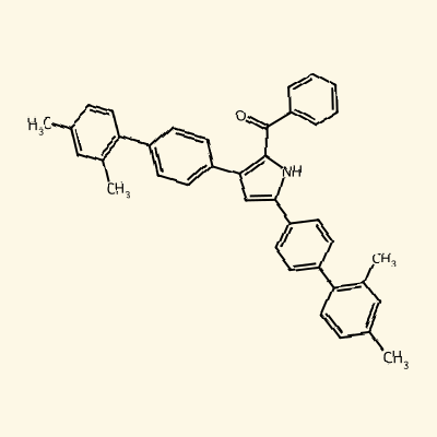 Cc1ccc(-c2ccc(-c3cc(-c4ccc(-c5ccc(C)cc5C)cc4)c(C(=O)c4ccccc4)[nH]3)cc2)c(C)c1